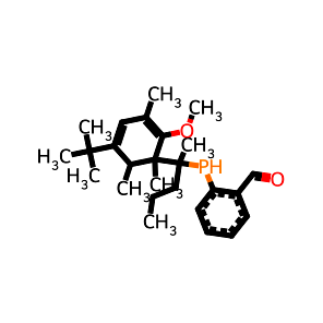 CCCC(C)(Pc1ccccc1C=O)C1(C)C(OC)=C(C)C=C(C(C)(C)C)C1C